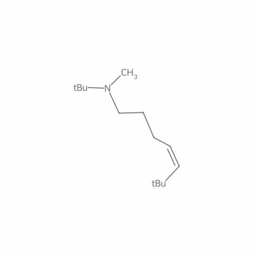 CN(CCC/C=C\C(C)(C)C)C(C)(C)C